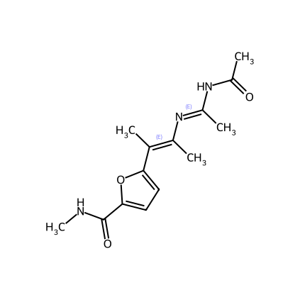 CNC(=O)c1ccc(/C(C)=C(C)/N=C(\C)NC(C)=O)o1